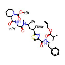 C=CCOC(=O)[C@@H](C)C[C@H](Cc1ccccc1)NC(=O)c1csc([C@@H](C[C@H](C(C)C)N(C)C(=O)[C@H](CCC)NC(=O)[C@H]2CCCCN2C(=O)OC(C)(C)C)OC)n1